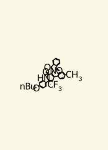 CCCCOc1ccc([C@]2(C(F)(F)F)CC(c3ccc(C)cc3)=C(N3C(=O)c4ccccc4C3=O)C(=O)N2)cc1